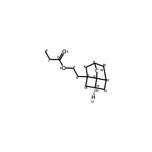 CCC(=O)OCCC12CC3CC4C[C@@H](C1)C42C3